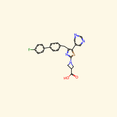 O=C(O)C1CN(c2nc(Cc3ccc(-c4ccc(F)cc4)cc3)c(-c3cncnc3)s2)C1